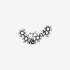 CC(C)Cc1cc(OCc2ccc3ccccc3n2)ccc1-c1ccn(Cc2ccc(-c3ccccc3)cc2)n1